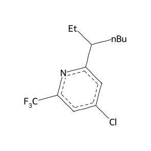 CCCCC(CC)c1cc(Cl)cc(C(F)(F)F)n1